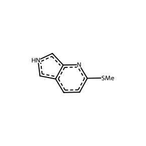 CSc1ccc2c[nH]cc2n1